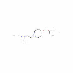 CC(C)OC1CCN(CCN(C)C)CC1